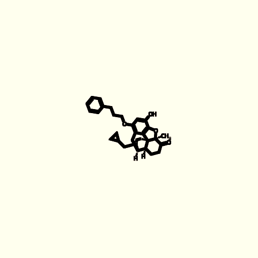 C[C@@]12Oc3c(O)cc(OCCCc4ccccc4)c4c3[C@@]13CCN(CC1CC1)[C@H](C4)[C@@H]3CCC2=O